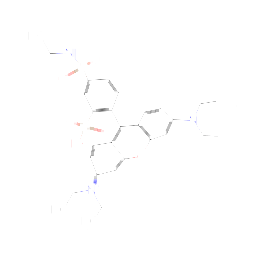 CCNS(=O)(=O)c1ccc(-c2c3ccc(=[N+](CC)CC)cc-3oc3cc(N(CC)CC)ccc23)c(S(=O)(=O)O)c1